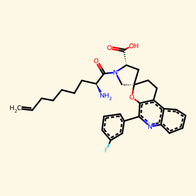 C=CCCCCC[C@H](N)C(=O)N1C[C@@]2(CCc3c(c(-c4cccc(F)c4)nc4ccccc34)O2)C[C@H]1C(=O)O